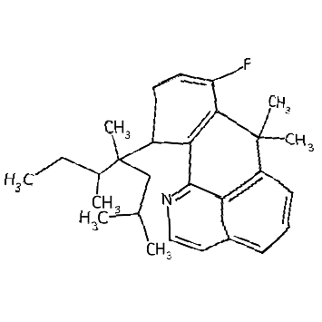 CCC(C)C(C)(CC(C)C)C1CC=C(F)C2=C1c1nccc3cccc(c13)C2(C)C